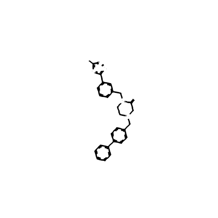 Cc1nc(-c2cccc(CN3CCN(Cc4ccc(-c5ccccc5)cc4)CC3=O)c2)no1